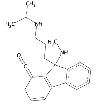 CNC1(CCCNC(C)C)C2=C(C=CCC2=C=O)c2ccccc21